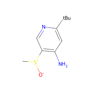 C[S+]([O-])c1cnc(C(C)(C)C)cc1N